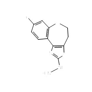 NNc1nc2c(s1)CCOc1cc(Br)ccc1-2